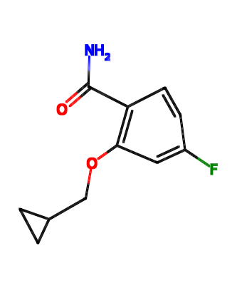 NC(=O)c1ccc(F)cc1OCC1CC1